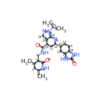 Cc1cc(C)c(CNC(=O)c2cc(-c3ccc4[nH]c(=O)[nH]c4c3)nc3c2cnn3C(C)C)c(=O)[nH]1